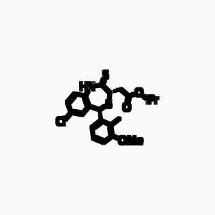 COc1cccc([C@@H]2S[C@@H](CC(=O)OC(C)C)C(=S)Nc3ccc(Cl)cc32)c1C